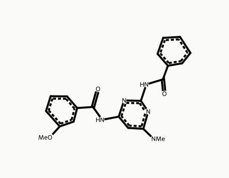 CNc1cc(NC(=O)c2cccc(OC)c2)nc(NC(=O)c2ccccc2)n1